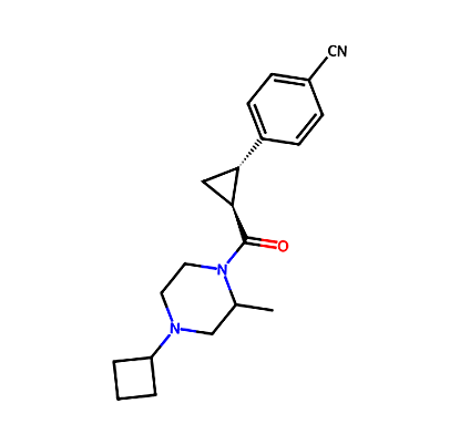 CC1CN(C2CCC2)CCN1C(=O)[C@H]1C[C@@H]1c1ccc(C#N)cc1